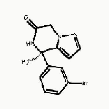 C[C@]1(c2cccc(Br)c2)NC(=O)Cn2nccc21